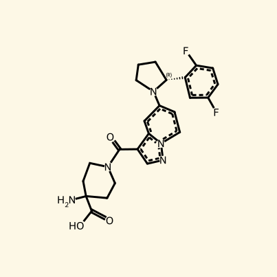 NC1(C(=O)O)CCN(C(=O)c2cnn3ccc(N4CCC[C@@H]4c4cc(F)ccc4F)cc23)CC1